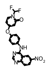 O=c1cc(Oc2ccc(Nc3ncnc4ccc([N+](=O)[O-])cc34)cc2)ccn1C(F)F